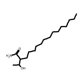 CCCCCCCCCCCCCCC(C(N)=O)C(C)O